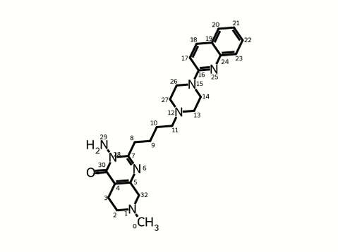 CN1CCc2c(nc(CCCCN3CCN(c4ccc5ccccc5n4)CC3)n(N)c2=O)C1